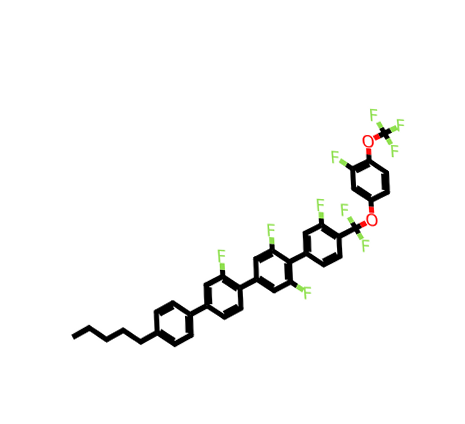 CCCCCc1ccc(-c2ccc(-c3cc(F)c(-c4ccc(C(F)(F)Oc5ccc(OC(F)(F)F)c(F)c5)c(F)c4)c(F)c3)c(F)c2)cc1